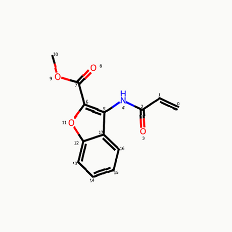 C=CC(=O)Nc1c(C(=O)OC)oc2ccccc12